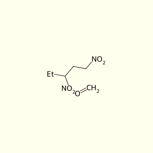 C=O.CCC(CC[N+](=O)[O-])[N+](=O)[O-]